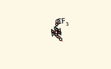 Cc1ccc(-c2ccc(-c3c4c(c(-c5ccc(-c6ccc(OC(F)(F)F)cc6)s5)c5nsnc35)N=S=N4)s2)cc1